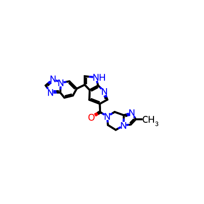 Cc1cn2c(n1)CN(C(=O)c1cnc3[nH]cc(-c4ccc5ncnn5c4)c3c1)CC2